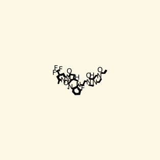 C=CC(=O)N1CCN2CCN(CCN3C[C@H]4CC(=O)N(c5cc(C(F)(F)F)cc(C)n5)[C@@H]4C(=O)N(C)c4cccc(F)c43)C(=O)[C@@H]2C1